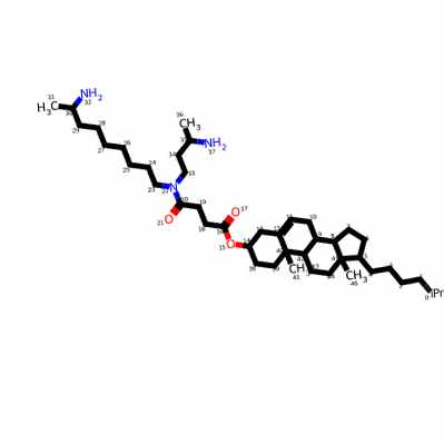 CC(C)CCCCC1CCC2C3CC=C4CC(OC(=O)CCC(=O)N(CCCCCCCC(C)N)CCC(C)N)CCC4(C)C3CCC12C